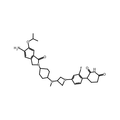 CC(C)Oc1cc2c(cc1N)CN(C1CCC(N(C)C3CN(c4ccc(C5CCC(=O)NC5=O)c(F)c4)C3)CC1)C2=O